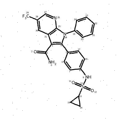 NC(=O)c1c(-c2ccc(NS(=O)(=O)C3CC3)cc2)n(-c2ccccc2)c2ncc(C(F)(F)F)cc12